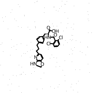 O=C(N[C@@H](Cc1ccc(CCCc2ccc3c(n2)NCCO3)cc1)C(=O)O)c1c(Cl)cccc1Cl